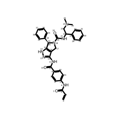 C=CC(=O)Nc1ccc(C(=O)Nc2n[nH]c3c2CN(C(=O)NC(CN(C)C)c2ccccc2)[C@@H]3c2ccccc2)cc1